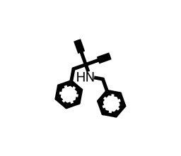 C#CC(C#C)(Cc1ccccc1)NCc1ccccc1